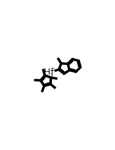 CC1=C(C)[C](C)([Hf][C]2=Cc3ccccc3C2C)C(C)=C1C